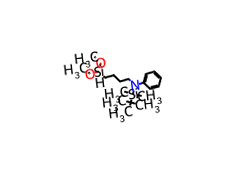 CO[SiH](CCCCN(c1ccccc1)[Si](C)(C)C(C)(C)C)OC